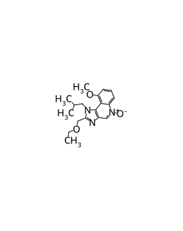 CCOCc1nc2c[n+]([O-])c3cccc(OC)c3c2n1CC(C)C